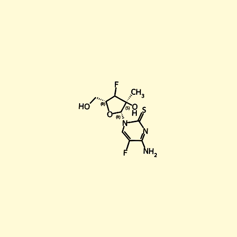 C[C@@]1(O)C(F)[C@@H](CO)O[C@H]1n1cc(F)c(N)nc1=S